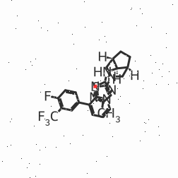 Cc1cc(N2C[C@H]3CC[C@@H](C2)[C@@H]3Nc2nc3c(-c4ccc(F)c(C(F)(F)F)c4)cccn3n2)sn1